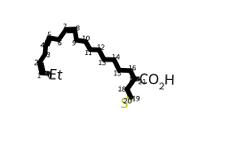 CC/C=C\C/C=C\C/C=C\CCCCCCCCC(CC=S)C(=O)O